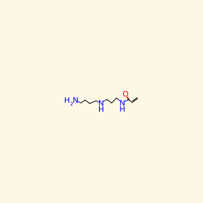 C=CC(=O)NCCCNCCCCN